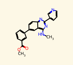 CNc1nc(-c2cccnc2)nc2ccc(-c3cccc(C(=O)OC)c3)cc12